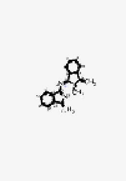 C=C1N=C(/N=C2/c3ccccc3C(=C)N2C)c2ccccc21